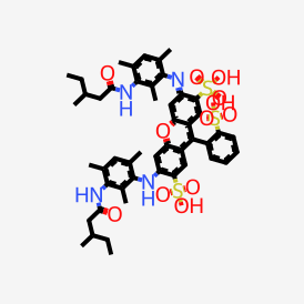 CCC(C)CC(=O)Nc1c(C)cc(C)c(/N=c2\cc3oc4cc(Nc5c(C)cc(C)c(NC(=O)CC(C)CC)c5C)c(S(=O)(=O)O)cc4c(-c4ccccc4S(=O)(=O)O)c-3cc2S(=O)(=O)O)c1C